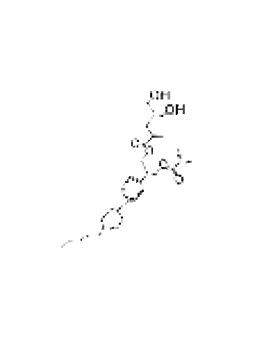 C=C(C)C(=O)OCC(COC(=O)C(=C)CC(CO)CO)c1ccc(C2CCC(CCCCC)CC2)cc1